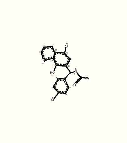 CC(=O)NC(c1ccc(Cl)cc1)c1cc(Cl)c2cccnc2c1O